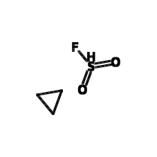 C1CC1.O=[SH](=O)F